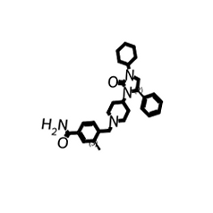 C[C@H]1C=C(C(N)=O)C=CC1CN1CCC(N2C(=O)N(C3CCCCC3)C[C@H]2c2ccccc2)CC1